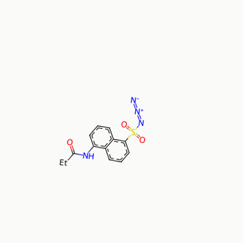 CCC(=O)Nc1cccc2c(S(=O)(=O)N=[N+]=[N-])cccc12